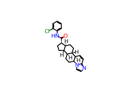 O=C(Nc1ccccc1Cl)[C@@H]1CC[C@H]2[C@@H]3CCC4[C@H](C=Cc5nccn54)[C@H]3CC[C@@H]21